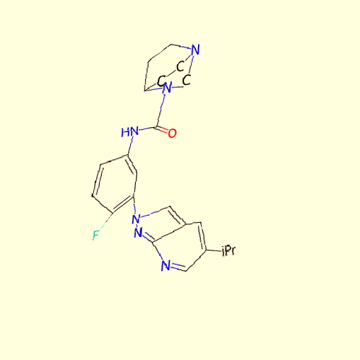 CC(C)c1cnc2nn(-c3cc(NC(=O)N4CCN5CCC4CC5)ccc3F)cc2c1